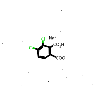 O=C([O-])c1ccc(Cl)c(Cl)c1C(=O)O.[Na+]